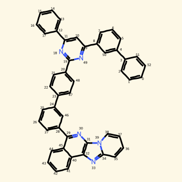 c1ccc(-c2cccc(-c3cc(-c4ccccc4)nc(-c4ccc(-c5cccc(-c6nc7c(nc8ccccn87)c7ccccc67)c5)cc4)n3)c2)cc1